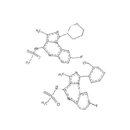 Cc1nc(-c2ccccc2Cl)n2c1c(NS(C)(=O)=O)nc1ccc(F)cc12.Cc1nc(C2CCCCC2)n2c1c(NS(C)(=O)=O)nc1ccc(F)cc12